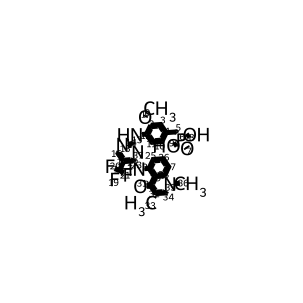 COc1cc(CP(=O)(O)O)ccc1Nc1ncc(C(F)(F)F)c(Nc2cccc3c2c(=O)c(C)cn3C)n1